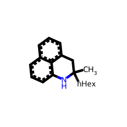 CCCCCCC1(C)Cc2cccc3cccc(c23)N1